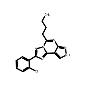 CCCCc1nc2n[nH]cc2c2nc(-c3ccccc3Cl)nn12